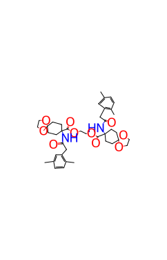 Cc1ccc(C)c(CC(=O)NC2(C(=O)OCCOC(=O)C3(NC(=O)Cc4cc(C)ccc4C)CCC4(CC3)OCCO4)CCC3(CC2)OCCO3)c1